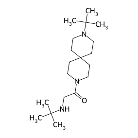 CC(C)(C)NCC(=O)N1CCC2(CC1)CCN(C(C)(C)C)CC2